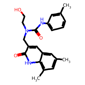 Cc1cccc(NC(=O)N(CCO)Cc2cc3cc(C)cc(C)c3[nH]c2=O)c1